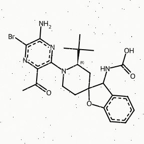 CC(=O)c1nc(Br)c(N)nc1N1CCC2(C[C@@H]1C(C)(C)C)Oc1ccccc1C2NC(=O)O